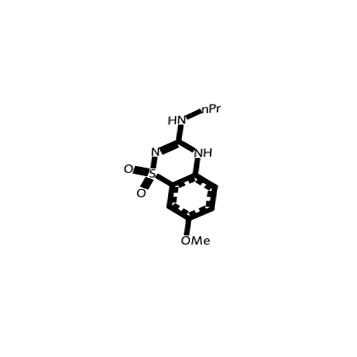 CCCNC1=NS(=O)(=O)c2cc(OC)ccc2N1